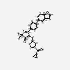 O=C(C1CC1)N1CC[C@@H](CN2C(=O)C3(CC3)N=C2c2cnc(-c3ccc4occc4c3)cn2)C1